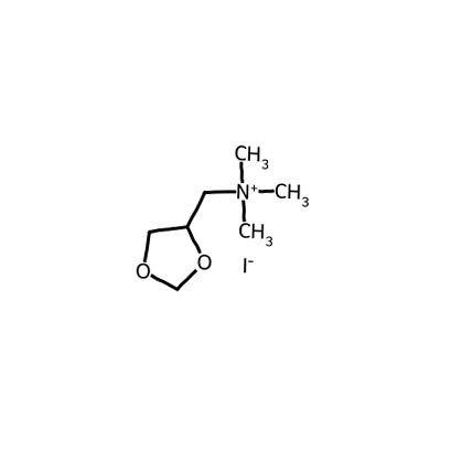 C[N+](C)(C)CC1COCO1.[I-]